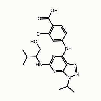 CC(C)C(CO)Nc1nc(Nc2ccc(C(=O)O)c(Cl)c2)c2nnn(C(C)C)c2n1